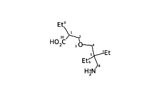 CCC(COCC(CC)(CC)CN)C(=O)O